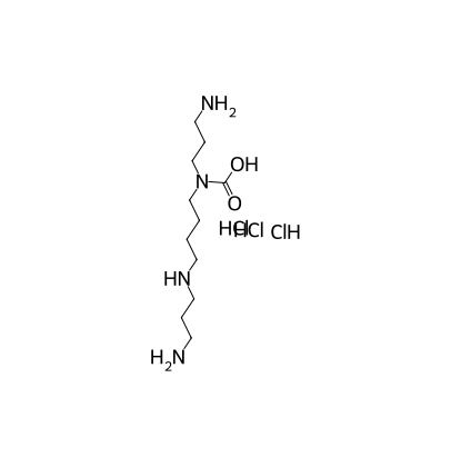 Cl.Cl.Cl.NCCCNCCCCN(CCCN)C(=O)O